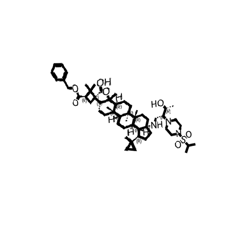 CC(C)S(=O)(=O)N1CCN([C@H](CN[C@]23CC[C@@H](C4(C)CC4)[C@@H]2[C@H]2CC[C@@H]4[C@]5(C)CC[C@H]([C@@]6(C(=O)O)C[C@@H](C(=O)OCc7ccccc7)C6(C)C)C(C)(C)[C@H]5CC[C@@]4(C)[C@]2(C)CC3)[C@@H](C)O)CC1